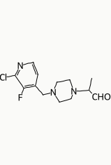 CC(C=O)N1CCN(Cc2ccnc(Cl)c2F)CC1